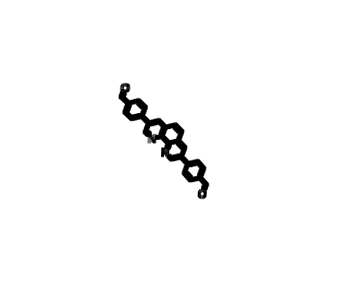 O=Cc1ccc(-c2cnc3c(ccc4cc(-c5ccc(C=O)cc5)cnc43)c2)cc1